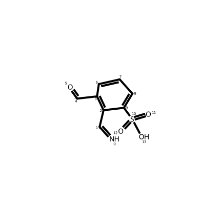 N=[C]c1c([C]=O)cccc1S(=O)(=O)O